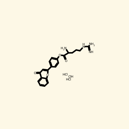 Cl.Cl.Cl.N=C(N)NCCCC(N)C(=O)Oc1ccc(-c2cc(=O)c3ccccc3o2)cc1